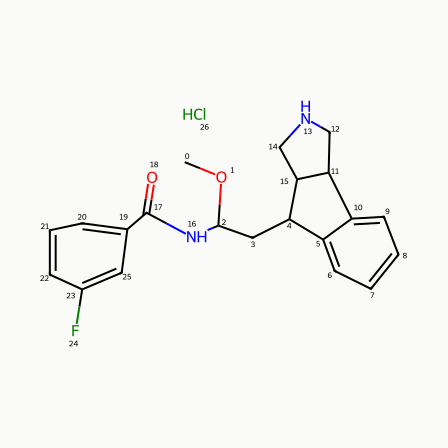 COC(CC1c2ccccc2C2CNCC21)NC(=O)c1cccc(F)c1.Cl